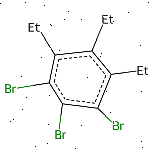 CCc1c(Br)c(Br)c(Br)c(CC)c1CC